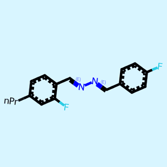 CCCc1ccc(/C=N/N=C/c2ccc(F)cc2)c(F)c1